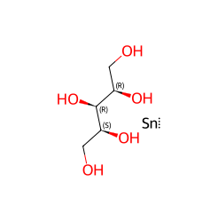 OC[C@@H](O)[C@H](O)[C@@H](O)CO.[Sn]